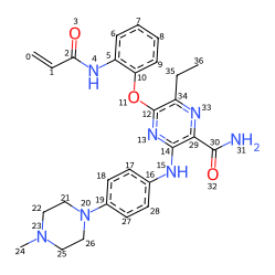 C=CC(=O)Nc1ccccc1Oc1nc(Nc2ccc(N3CCN(C)CC3)cc2)c(C(N)=O)nc1CC